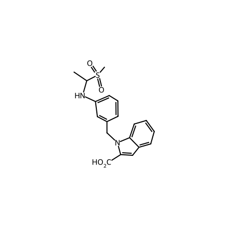 CC(Nc1cccc(Cn2c(C(=O)O)cc3ccccc32)c1)S(C)(=O)=O